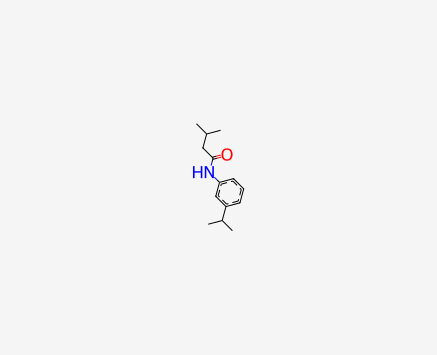 CC(C)CC(=O)Nc1cccc(C(C)C)c1